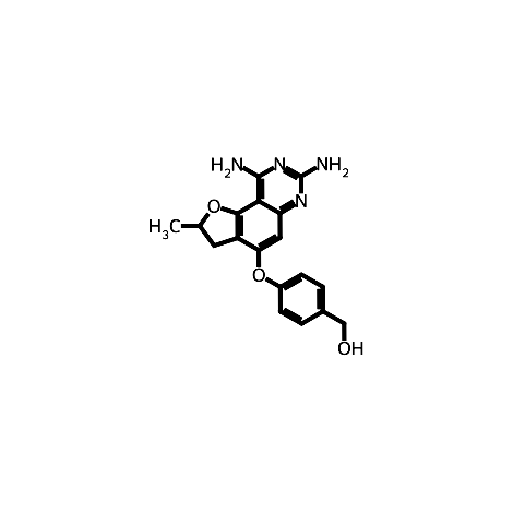 CC1Cc2c(Oc3ccc(CO)cc3)cc3nc(N)nc(N)c3c2O1